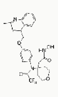 Cc1cc(COc2ccc(N(C(=O)C(F)(F)F)C3(CC(=O)NO)CCOCC3)cc2)c2ccccc2n1